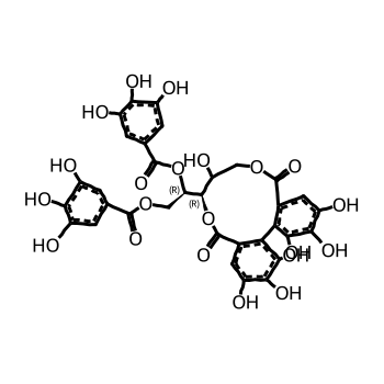 O=C(OC[C@@H](OC(=O)c1cc(O)c(O)c(O)c1)[C@@H]1OC(=O)c2cc(O)c(O)c(O)c2-c2c(cc(O)c(O)c2O)C(=O)OCC1O)c1cc(O)c(O)c(O)c1